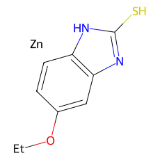 CCOc1ccc2[nH]c(S)nc2c1.[Zn]